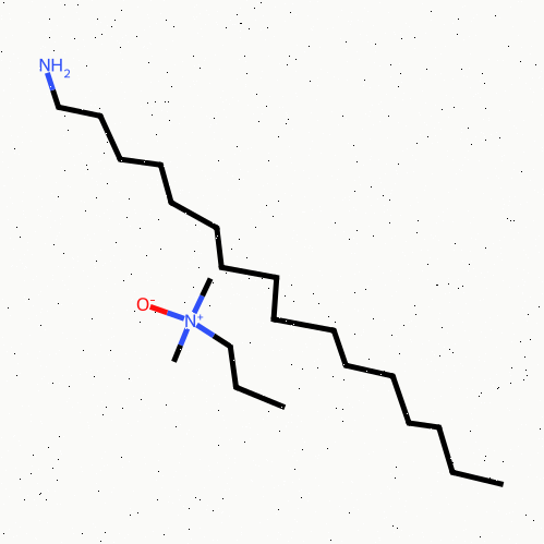 CCCCCCCCCCCCCCCCN.CCC[N+](C)(C)[O-]